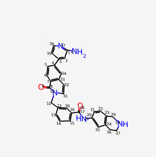 Nc1cc(-c2ccc3c(=O)n(Cc4cccc(C(=O)Nc5ccc6c(c5)CCNC6)c4)ccc3c2)ccn1